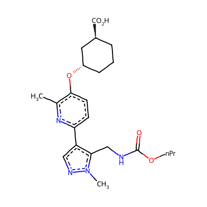 CCCOC(=O)NCc1c(-c2ccc(O[C@H]3CCC[C@H](C(=O)O)C3)c(C)n2)cnn1C